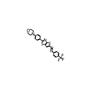 FC(F)(F)c1ccc(N=Nc2cc3sc(-c4ccc(N5CCOCC5)cc4)nc3s2)cc1